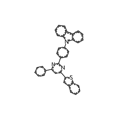 c1ccc(-c2cc(-c3cc4ccccc4s3)nc(-c3ccc(-n4c5ccccc5c5ccccc54)cc3)n2)cc1